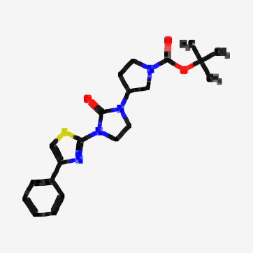 CC(C)(C)OC(=O)N1CCC(N2CCN(c3nc(-c4ccccc4)cs3)C2=O)C1